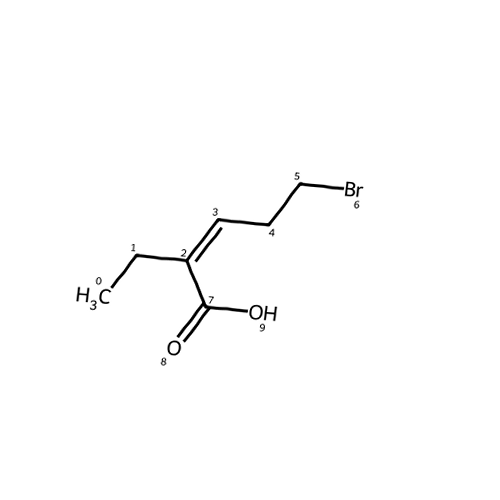 CCC(=CCCBr)C(=O)O